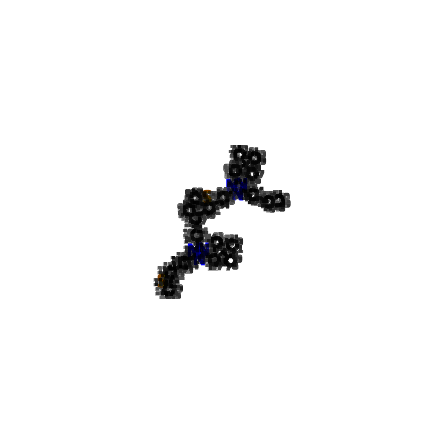 c1ccc(C2(c3ccccc3)c3ccccc3-c3c(-c4nc(-c5ccc(-c6cc(-c7ccc(-c8ccc(-c9nc(-c%10ccc(-c%11ccc%12ccccc%12c%11)cc%10)nc(-c%10cccc%11c%10-c%10ccccc%10C%11(c%10ccccc%10)c%10ccccc%10)n9)cc8)c8sc9ccccc9c78)c7ccccc7c6)cc5)nc(-c5ccc(-c6ccc7sc8ccccc8c7c6)cc5)n4)cccc32)cc1